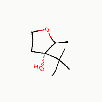 C[C@@H]1OCC[C@]1(O)C(C)(C)C